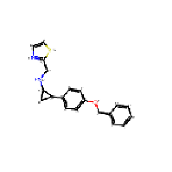 c1ccc(COc2ccc(C3CC3NCc3nccs3)cc2)cc1